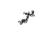 O=C(COc1ccc([C@@H]2[C@@H](SCC(O)c3ccc4c(c3)OCC4)C(=O)N2c2ccc(F)cc2)cc1)NCC(=O)NC(CC1CCCCC1)C(=O)O